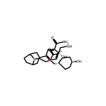 NC(=O)c1cccc(C2CC3CCC(C2)N3CCN(C[C@H]2CC[C@H](O)CC2)C(=O)[C@@H](O)CO)c1